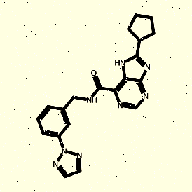 O=C(NCc1cccc(-n2nccn2)c1)c1ncnc2nc(C3CCCC3)[nH]c12